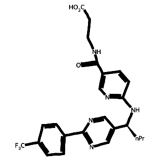 CCC[C@H](Nc1ccc(C(=O)NCCC(=O)O)cn1)c1cnc(-c2ccc(C(F)(F)F)cc2)nc1